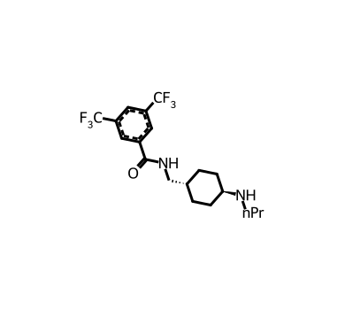 CCCN[C@H]1CC[C@H](CNC(=O)c2cc(C(F)(F)F)cc(C(F)(F)F)c2)CC1